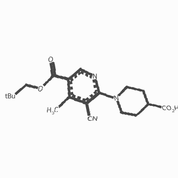 Cc1c(C(=O)OCC(C)(C)C)cnc(N2CCC(C(=O)O)CC2)c1C#N